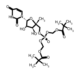 CC(C)(C)C(=O)OCOP(=O)(OCOC(=O)C(C)(C)C)OC[C@@]1(C)O[C@@H](n2ccc(=O)[nH]c2=O)[C@H](O)[C@@H]1O